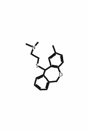 Cc1ccc2c(c1)C(SCCN(C)C)c1ccccc1CO2